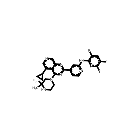 CC1(C)CN(c2nc(-c3ccnc(Nc4nc(F)c(F)cc4F)c3)nc3cncc(C4CC4)c23)CCN1